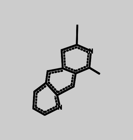 Cc1cc2cc3cccnc3cc2c(C)n1